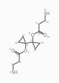 O=C(CCS)OC1(C2(OC(=O)CCS)CC2)CC1